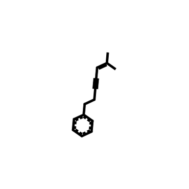 CC(C)=CC#CCCc1ccccc1